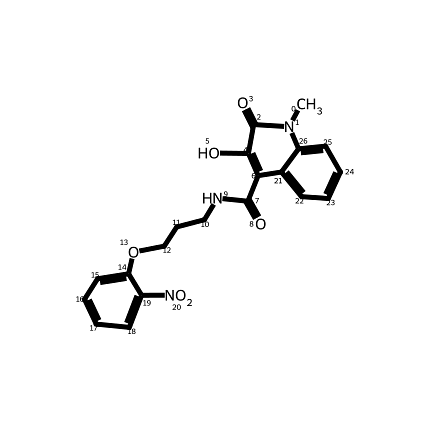 Cn1c(=O)c(O)c(C(=O)NCCCOc2ccccc2[N+](=O)[O-])c2ccccc21